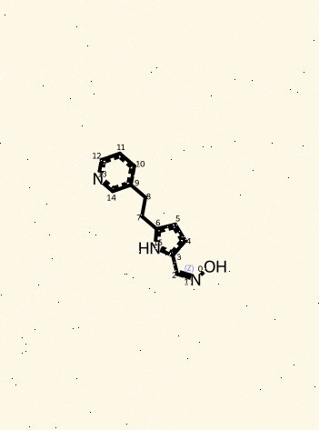 O/N=C\c1ccc(CCc2cccnc2)[nH]1